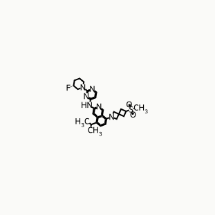 CC(C)c1ccc(N2CC3(CC(S(C)(=O)=O)C3)C2)c2cnc(Nc3ccnc(N4CCC[C@@H](F)C4)n3)cc12